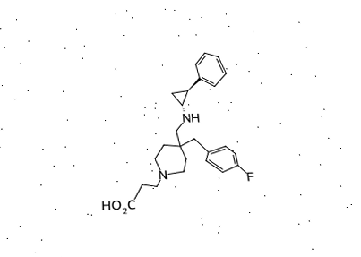 O=C(O)CCN1CCC(CN[C@@H]2C[C@H]2c2ccccc2)(Cc2ccc(F)cc2)CC1